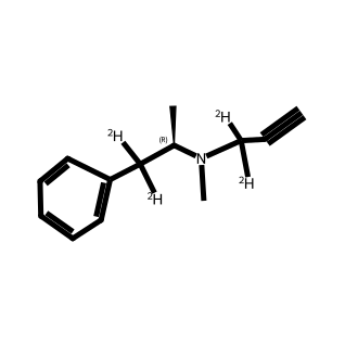 [2H]C([2H])(c1ccccc1)[C@@H](C)N(C)C([2H])([2H])C#C